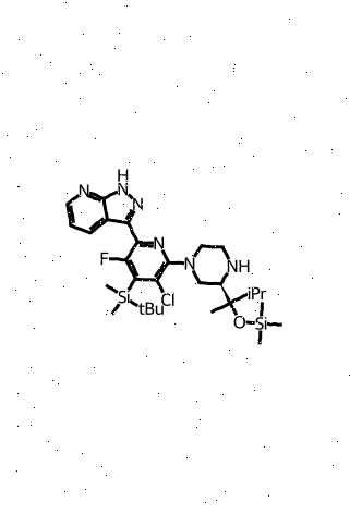 CC(C)C(C)(O[Si](C)(C)C)[C@H]1CN(c2nc(-c3n[nH]c4ncccc34)c(F)c([Si](C)(C)C(C)(C)C)c2Cl)CCN1